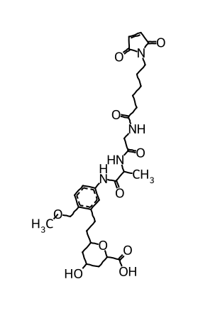 COCc1ccc(NC(=O)C(C)NC(=O)CNC(=O)CCCCCN2C(=O)C=CC2=O)cc1CCC1CC(O)CC(C(=O)O)O1